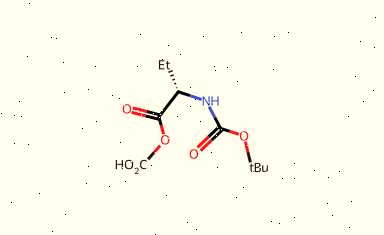 CC[C@H](NC(=O)OC(C)(C)C)C(=O)OC(=O)O